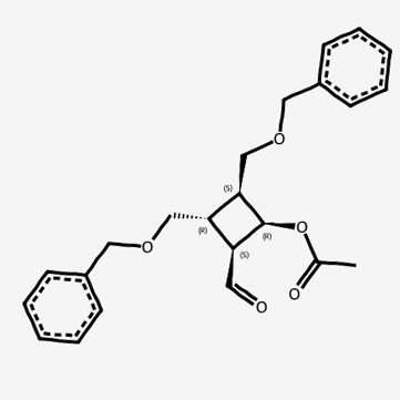 CC(=O)O[C@H]1[C@@H](C=O)[C@H](COCc2ccccc2)[C@H]1COCc1ccccc1